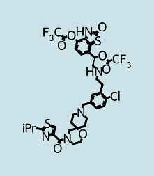 CC(C)c1nc(C(=O)N2CCOC3(CCN(Cc4ccc(Cl)c(CCNC[C@H](OC(=O)C(F)(F)F)c5ccc(OC(=O)C(F)(F)F)c6[nH]c(=O)sc56)c4)CC3)C2)cs1